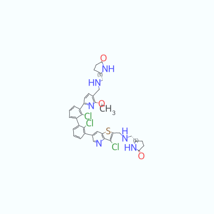 COc1nc(-c2cccc(-c3cccc(-c4cnc5c(Cl)c(CNC[C@@H]6CCC(=O)N6)sc5c4)c3Cl)c2Cl)ccc1CNC[C@@H]1CCC(=O)N1